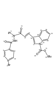 CC(C)N(NC(=O)c1ccc(Br)cc1)C(=O)C=Cc1cn(C(=O)OC(C)(C)C)c2ccccc12